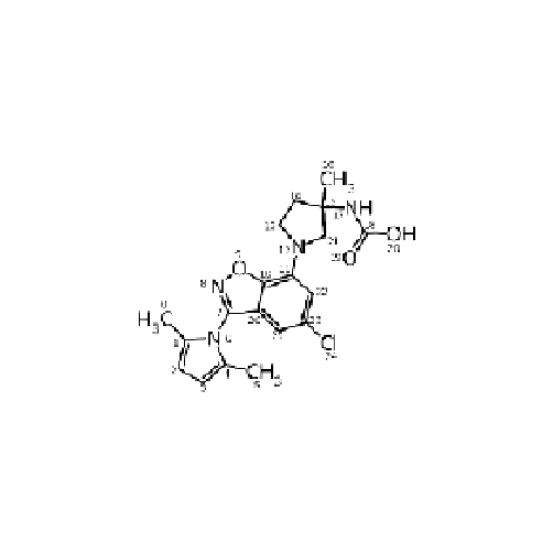 Cc1ccc(C)n1-c1noc2c(N3CCC(C)(NC(=O)O)C3)cc(Cl)cc12